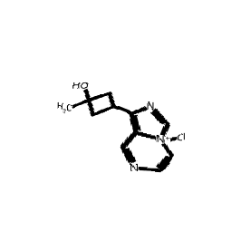 CC1(O)CC(C2=C3C=NC=C[N+]3(Cl)C=N2)C1